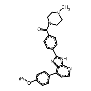 CC(C)Oc1ccc(-c2ccnc3[nH]c(-c4ccc(C(=O)N5CCN(C)CC5)cc4)nc23)cc1